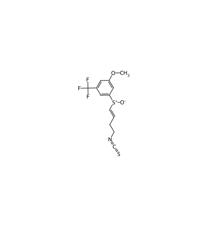 COc1cc([S+]([O-])C=CCCN=C=S)cc(C(F)(F)F)c1